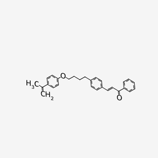 C=C(C)c1ccc(OCCCCc2ccc(/C=C/C(=O)c3ccccc3)cc2)cc1